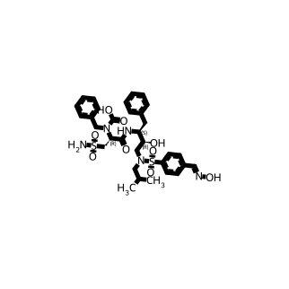 CC(C)CN(C[C@@H](O)[C@H](Cc1ccccc1)NC(=O)[C@H](CS(N)(=O)=O)N(Cc1ccccc1)C(=O)O)S(=O)(=O)c1ccc(C=NO)cc1